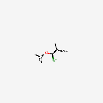 CC(C(Br)O[SiH](C)C)C(C)(C)C